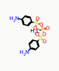 CP(=O)(OS(=O)(=O)c1ccc(N)cc1)OS(=O)(=O)c1ccc(N)cc1